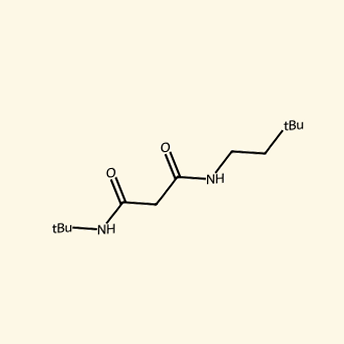 CC(C)(C)CCNC(=O)CC(=O)NC(C)(C)C